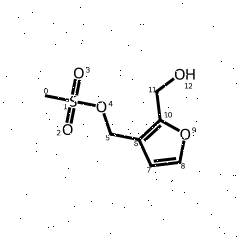 CS(=O)(=O)OCc1ccoc1CO